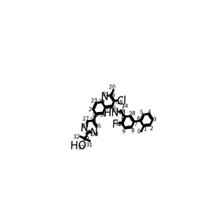 Cc1ccccc1-c1ccc(F)c([C@@H](C)Nc2c(Cl)c(C)nc3ccc(-c4cnc(C(C)(C)O)nc4)cc23)c1